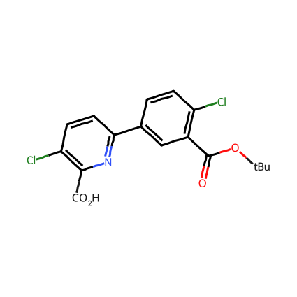 CC(C)(C)OC(=O)c1cc(-c2ccc(Cl)c(C(=O)O)n2)ccc1Cl